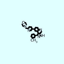 Cc1cccc(-c2n[nH]c3cnc4ccc(-c5ccc(CN6CCOCC6)nc5)cc4c23)c1